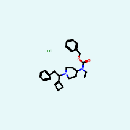 CCN(C(=O)OCc1ccccc1)C1CCN(C(Cc2ccccc2)C2=CCC2)CC1.Cl